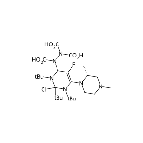 C[C@@H]1CN(C)CCN1C1=C(F)C(N(C(=O)O)N(C(=O)O)C(=O)O)N(C(C)(C)C)C(Cl)(C(C)(C)C)N1C(C)(C)C